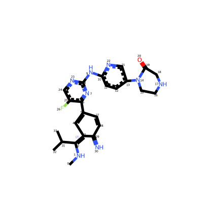 CN/C(=C1/C=C(c2nc(Nc3ccc(N4CCNCC4=O)cn3)ncc2F)C=CC1=N)C(C)C